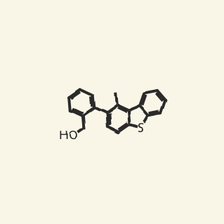 Cc1c(-c2ccccc2CO)ccc2sc3ccccc3c12